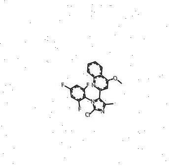 COc1cc(-c2c(C)nc(Cl)n2-c2c(F)cc(F)cc2F)nc2ccccc12